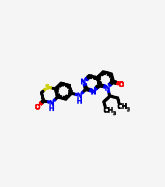 CCC(CC)n1c(=O)ccc2cnc(Nc3ccc4c(c3)NC(=O)CS4)nc21